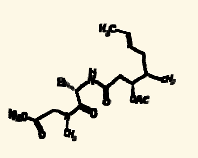 C/C=C/C[C@@H](C)[C@H](CC(=O)N[C@@H](CC)C(=O)N(C)CC(=O)OC)OC(C)=O